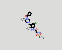 Cc1c(CN2CCN(C(=O)C3CCCC3)C(C)C2)cc(Cl)cc1NC(=O)CNS(C)(=O)=O